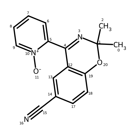 CC1(C)N=C(c2cccc[n+]2[O-])c2cc(C#N)ccc2O1